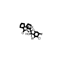 C[C@]1(O)c2c(cc(F)c(Cl)c2Br)O[C@]1(CN1C(=O)c2ccccc2C1=O)c1ccccn1